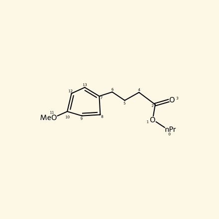 CCCOC(=O)CCCc1ccc(OC)cc1